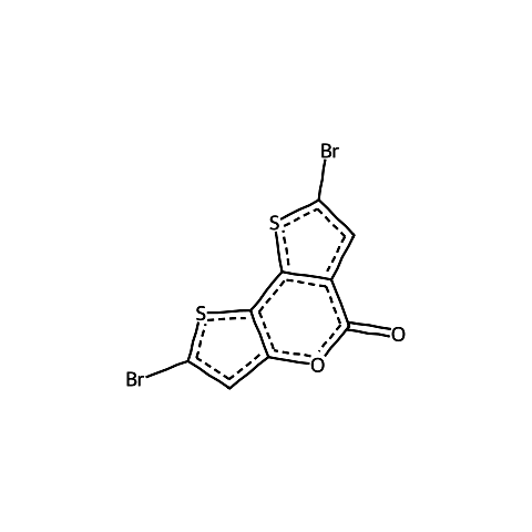 O=c1oc2cc(Br)sc2c2sc(Br)cc12